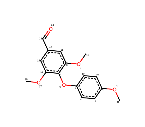 COc1ccc(Oc2c(OC)cc(C=O)cc2OC)cc1